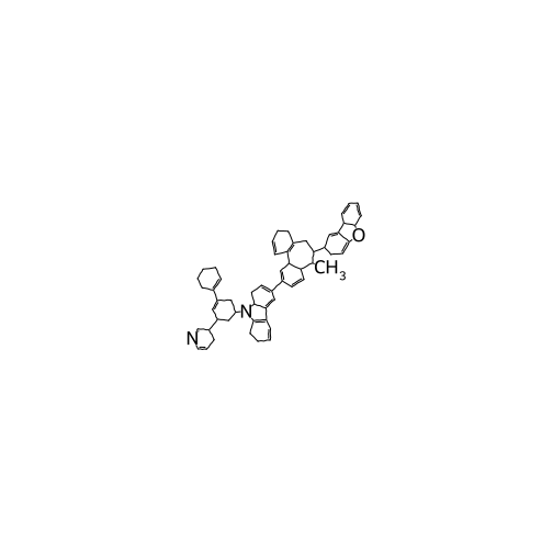 CC1C2C=CC(C3=CCC4C(=C3)C3=C(CCC=C3)N4C3CC(C4=CCCCC4)=CC(C4C=NC=CC4)C3)=CC2C2=C(CCC=C2)CC1C1C=C2C(=CC1)OC1C=CC=CC21